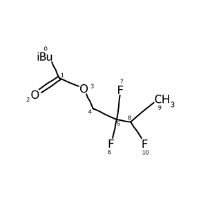 CCC(C)C(=O)OCC(F)(F)C(C)F